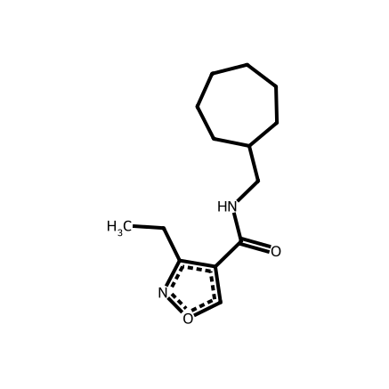 CCc1nocc1C(=O)NCC1CCCCCC1